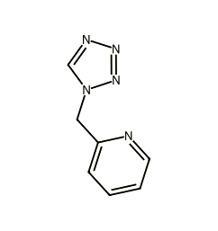 c1ccc(Cn2cnnn2)nc1